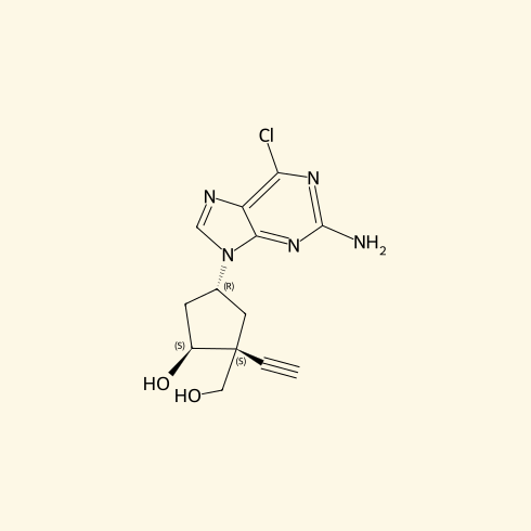 C#C[C@]1(CO)C[C@@H](n2cnc3c(Cl)nc(N)nc32)C[C@@H]1O